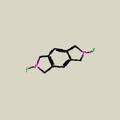 FP1Cc2cc3c(cc2C1)CP(F)C3